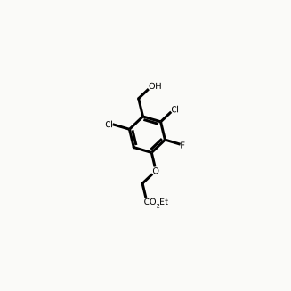 CCOC(=O)COc1cc(Cl)c(CO)c(Cl)c1F